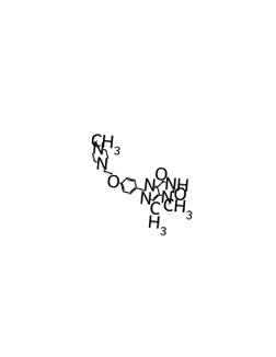 Cc1nc(-c2ccc(OCCN3CCN(C)CC3)cc2)nc2c(=O)[nH]c(=O)n(C)c12